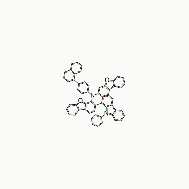 c1ccc(-n2c3ccccc3c3cccc(-c4ccc5c(oc6ccccc65)c4N(c4ccc(-c5cccc6ccccc56)cc4)c4ccc5c(c4)oc4ccccc45)c32)cc1